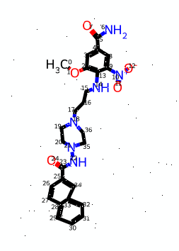 COc1cc(C(N)=O)cc([N+](=O)[O-])c1NCCCN1CCN(NC(=O)c2ccc3ccccc3c2)CC1